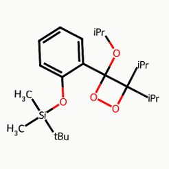 CC(C)OC1(c2ccccc2O[Si](C)(C)C(C)(C)C)OOC1(C(C)C)C(C)C